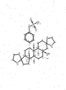 C[C@@H]1C[C@@H]2[C@H]([C@@H](c3ccc(OS(=O)(=O)C(F)(F)F)cc3)C[C@@]3(C)[C@H]2CCC32OCCO2)[C@H]2CCC3(C[C@]12O)OCCO3